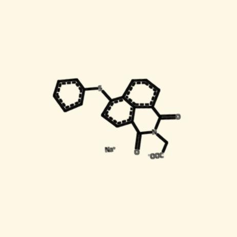 O=C([O-])CN1C(=O)c2cccc3c(Sc4ccccc4)ccc(c23)C1=O.[Na+]